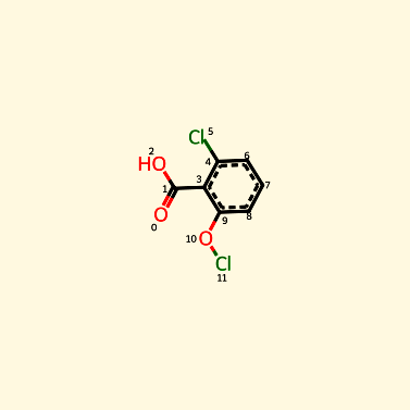 O=C(O)c1c(Cl)cccc1OCl